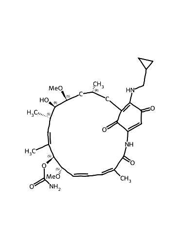 CO[C@H]1C=CC=C(C)C(=O)NC2=CC(=O)C(NCC3CC3)=C(C[C@@H](C)C[C@H](OC)[C@H](O)[C@@H](C)C=C(C)[C@@H]1OC(N)=O)C2=O